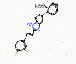 CC(=O)Nc1ccccc1-c1ccc2[nH]c(C=Cc3ccc(F)c(F)c3)nc2c1